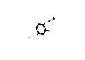 Cc1ccc(N=S(=O)=O)c(Cl)c1